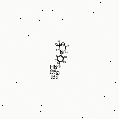 CC(C)(C)OC(=O)NCc1ccc(N2CCOC(C)(C)C2)cc1